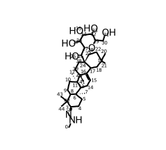 CN/N=C1\CC[C@@]2(C)C(CC[C@]3(C)C2CC=C2C4CC(C)(C)CC[C@]4([C@H](O)[C@H]4OC(CO)[C@H](O)C(O)C4O)CC[C@]23C)C1(C)C